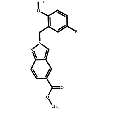 COC(=O)c1ccc2nn(Cc3cc(Br)ccc3OC)cc2c1